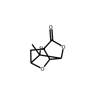 CC1(S)C2CC3C(=O)OC1C3O2